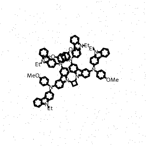 CCn1c2ccccc2c2cc(N(c3ccc(OC)cc3)c3ccc4c(c3)c3cc(N(c5ccc(OC)cc5)c5ccc6c(c5)c5ccccc5n6CC)ccc3n4C3CCC3n3c4ccc(N(c5ccc(OC)cc5)c5ccc6c(c5)c5ccccc5n6CC)cc4c4cc(N(c5ccc(OC)cc5)c5ccc6c(c5)c5ccccc5n6CC)ccc43)ccc21